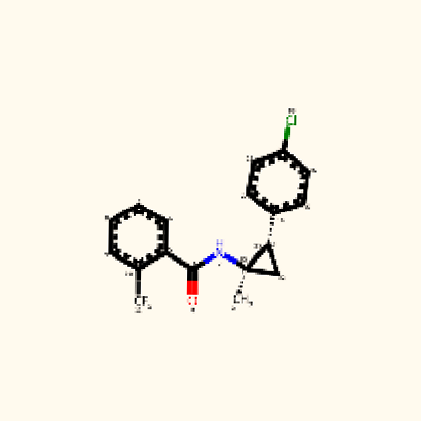 C[C@@]1(NC(=O)c2ccccc2C(F)(F)F)C[C@H]1c1ccc(Cl)cc1